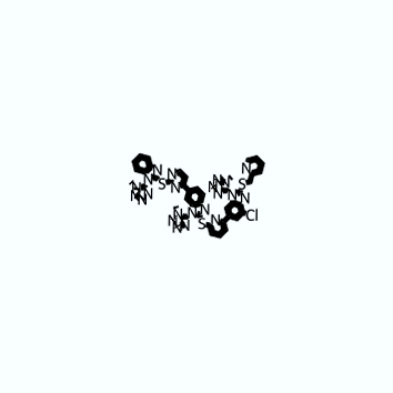 Cn1nnnc1-n1c(Sc2cccc(-c3cc(Cl)c4nc(SCc5ccccn5)n(-c5nnnn5C)c4c3)n2)nc2ccc(-c3ccnc(Sc4nc5ccccc5n4-c4nnnn4C)n3)cc21